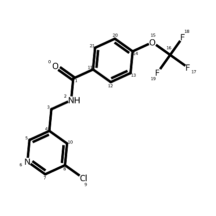 O=C(NCc1cncc(Cl)c1)c1ccc(OC(F)(F)F)cc1